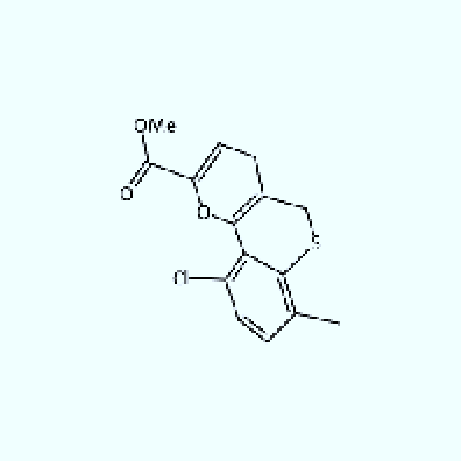 COC(=O)C1=CCC2=C(O1)c1c(Cl)ccc(C)c1SC2